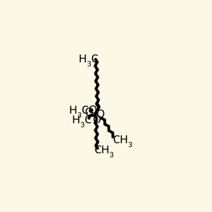 CCCCCCCCCCCCC=CC(OCCCCCCCC)(OOC)C(CC)OCCCCCCCC